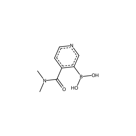 CN(C)C(=O)c1ccncc1B(O)O